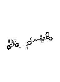 O=C(NCCCCCC(=O)N1CCC(NCCCOc2ccc([C@@H](C(=O)O)N3Cc4ccccc4C3)cc2)CC1)OCC1c2ccccc2-c2ccccc21